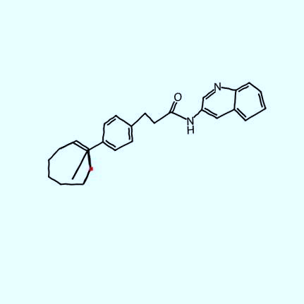 O=C(CCc1ccc(C23CC4CCCC(CC(C4)C2)C3)cc1)Nc1cnc2ccccc2c1